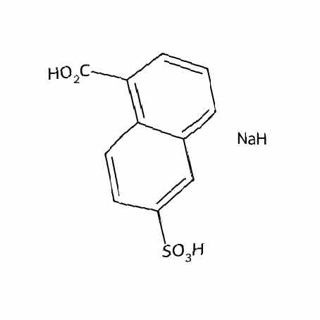 O=C(O)c1cccc2cc(S(=O)(=O)O)ccc12.[NaH]